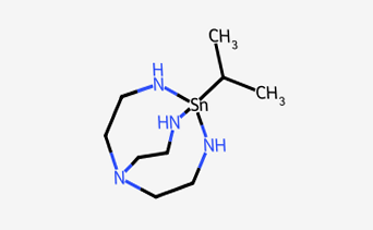 C[CH](C)[Sn]12[NH]CCN(CC[NH]1)CC[NH]2